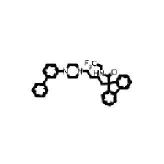 O=C(NCC(F)(F)F)C1(CCCCN2CCN(c3cccc(-c4ccccc4)c3)CC2)c2ccccc2-c2ccccc21